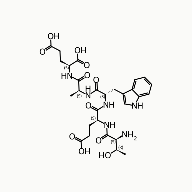 C[C@H](NC(=O)[C@H](Cc1c[nH]c2ccccc12)NC(=O)[C@H](CCC(=O)O)NC(=O)[C@@H](N)[C@@H](C)O)C(=O)N[C@@H](CCC(=O)O)C(=O)O